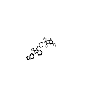 O=C(N[C@H]1CC[C@H](Cn2c(=O)n(-c3ccn4cncc4c3)c3ccccc32)CC1)c1cc(Cl)cnc1C(F)(F)F